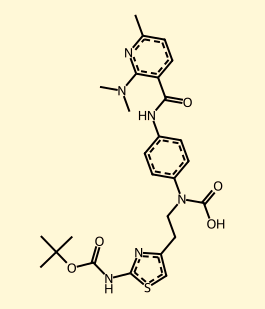 Cc1ccc(C(=O)Nc2ccc(N(CCc3csc(NC(=O)OC(C)(C)C)n3)C(=O)O)cc2)c(N(C)C)n1